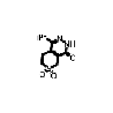 CC(C)c1n[nH]c(=O)c2c1CCS(=O)(=O)C2